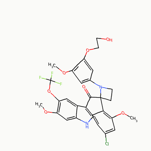 COc1cc(OCCO)cc(N2CCC2(C(=O)c2c[nH]c3cc(OC)c(OC(F)(F)F)cc23)c2ccc(Cl)cc2OC)c1